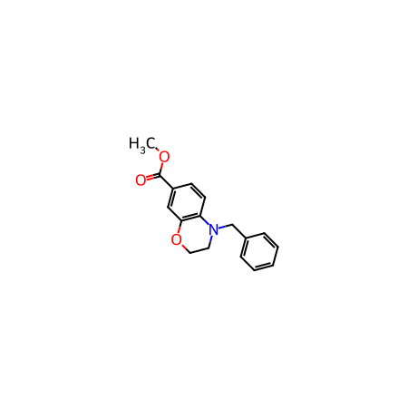 COC(=O)c1ccc2c(c1)OCCN2Cc1ccccc1